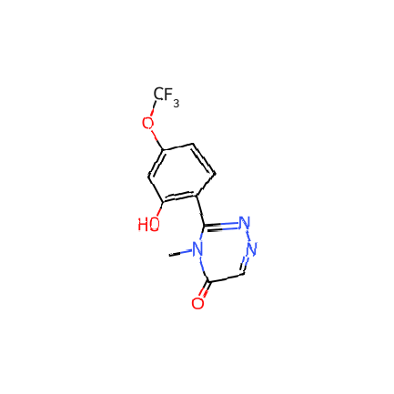 Cn1c(-c2ccc(OC(F)(F)F)cc2O)nncc1=O